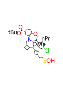 CCCc1cc(Cl)ccc1C1COc2ccc(C(=O)OC(C)(C)C)cc2N(CC2CCC2C(OC)C2=CC(CCSO)C2)C1